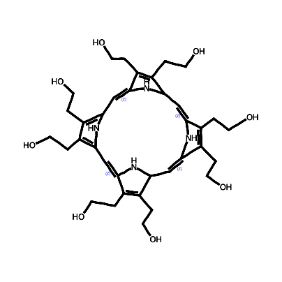 OCCC1=C(CCO)C2/C=c3\[nH]/c(c(CCO)c3CCO)=C\C3N/C(=C\c4[nH]c(c(CCO)c4CCO)/C=C/1N2)C(CCO)=C3CCO